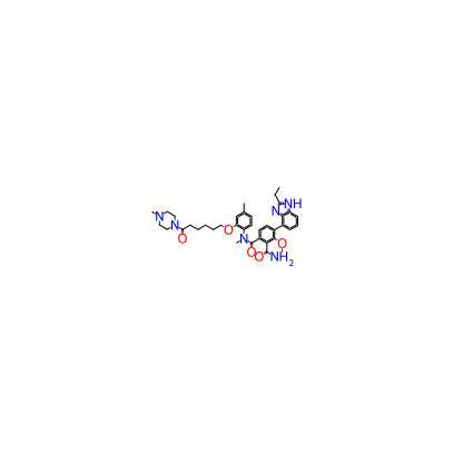 CCc1nc2c(-c3ccc(C(=O)N(C)c4ccc(C)cc4OCCCCCC(=O)N4CCN(C)CC4)c(C(N)=O)c3OC)cccc2[nH]1